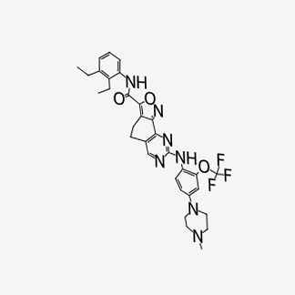 CCc1cccc(NC(=O)c2onc3c2CCc2cnc(Nc4ccc(N5CCN(C)CC5)cc4OC(F)(F)F)nc2-3)c1CC